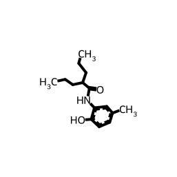 CCCC(CCC)C(=O)Nc1cc(C)ccc1O